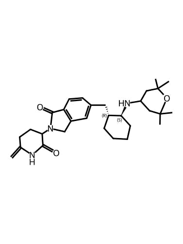 C=C1CCC(N2Cc3cc(C[C@H]4CCCC[C@@H]4NC4CC(C)(C)OC(C)(C)C4)ccc3C2=O)C(=O)N1